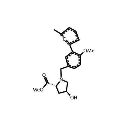 COC(=O)[C@H]1C[C@H](O)CN1Cc1ccc(OC)c(-c2cccc(C)c2)c1